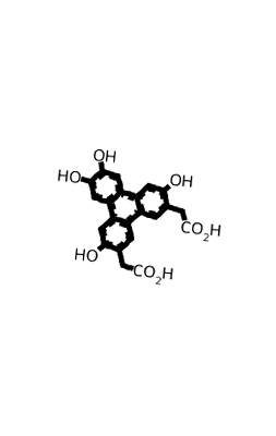 O=C(O)Cc1cc2c(cc1O)c1cc(O)c(O)cc1c1cc(O)c(CC(=O)O)cc12